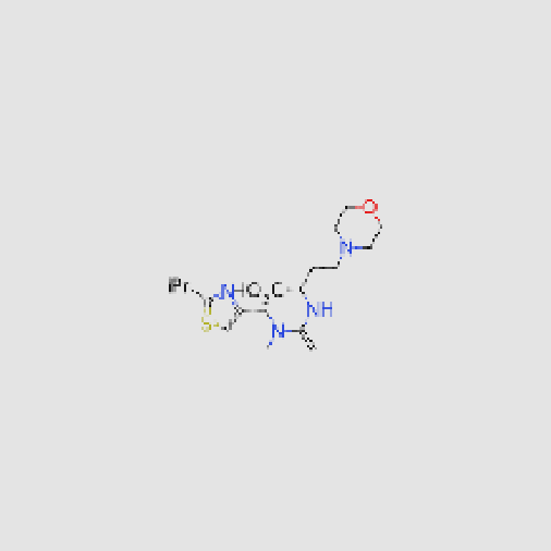 C=C(N[C@@H](CCN1CCOCC1)C(=O)O)N(C)Cc1csc(C(C)C)n1